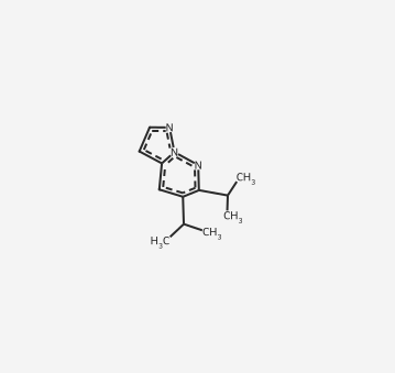 CC(C)c1cc2ccnn2nc1C(C)C